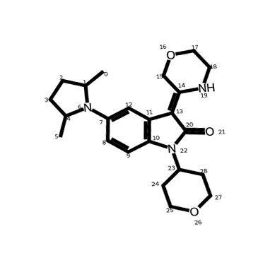 CC1CCC(C)N1c1ccc2c(c1)/C(=C1\COCCN1)C(=O)N2C1CCOCC1